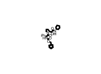 CC(C)[C@H](NC(=O)OCc1ccccc1)C(=O)N1CCCC1C(O)C(=O)NC1CCCCC1